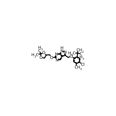 Cc1cc(OCc2n[nH]c3nc(OCC4COC(C)(C)O4)ncc23)c(C(C)(C)C)cc1Cl